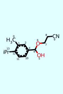 Cc1cc(C(O)OCCC#N)ccc1C(C)C